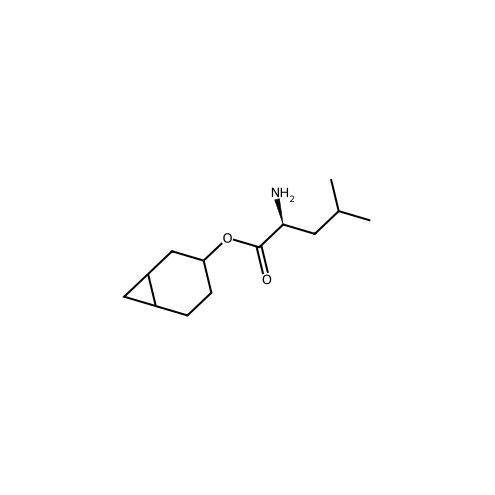 CC(C)C[C@H](N)C(=O)OC1CCC2CC2C1